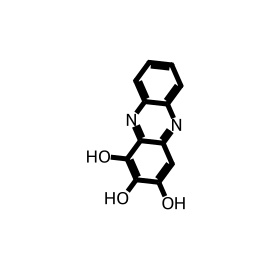 Oc1cc2nc3ccccc3nc2c(O)c1O